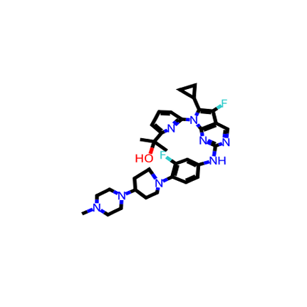 CN1CCN(C2CCN(c3ccc(Nc4ncc5c(F)c(C6CC6)n(-c6cccc(C(C)(C)O)n6)c5n4)cc3F)CC2)CC1